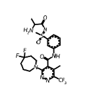 Cc1c(C(F)(F)F)nnc(N2CCCC(F)(F)CC2)c1C(=O)Nc1cccc(S(C)(=O)=NC(=O)C(C)N)c1